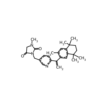 C=C(c1ccc(CN2C(=O)CN(C)C2=O)cn1)c1cc2c(cc1C)C(C)(C)CCC2(C)C